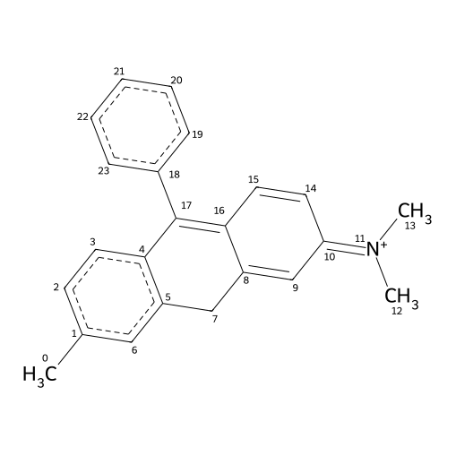 Cc1ccc2c(c1)CC1=CC(=[N+](C)C)C=CC1=C2c1ccccc1